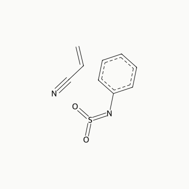 C=CC#N.O=S(=O)=Nc1ccccc1